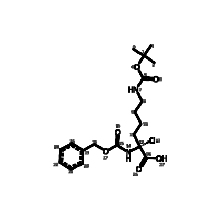 CC(C)(C)OC(=O)NCCCC[C@](Cl)(NC(=O)OCc1ccccc1)C(=O)O